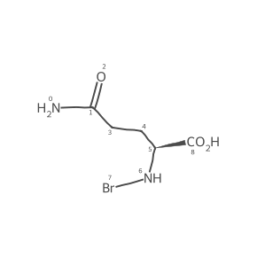 NC(=O)CC[C@H](NBr)C(=O)O